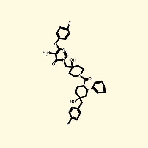 Nc1c(Oc2ccc(F)cc2)ncn(CC2(O)CCN(C(=O)[C@@H]3CC[C@@](O)(Cc4ccc(F)cc4)C[C@H]3c3ccccc3)CC2)c1=O